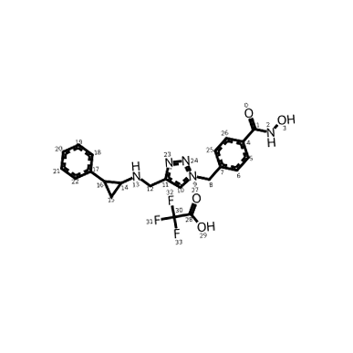 O=C(NO)c1ccc(Cn2cc(CNC3CC3c3ccccc3)nn2)cc1.O=C(O)C(F)(F)F